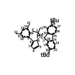 C[C](C)=[Hf]([CH]1C=CC=C1c1cc(C)cc(C)c1)[CH]1c2cc(C(C)(C)C)ccc2-c2ccc(C(C)(C)C)cc21